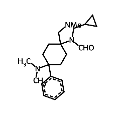 CNCC1(N(C=O)CC2CC2)CCC(c2ccccc2)(N(C)C)CC1